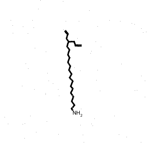 C=CCC(CC=C)CCCCCCCCCCCCCCCCCN